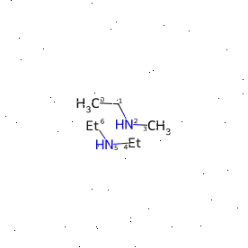 CCNC.CCNCC